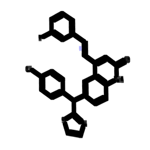 O=c1cc(/C=C/c2cccc(F)c2)c2cc(C(c3ccc(Cl)cc3)c3nccs3)ccc2[nH]1